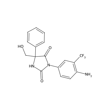 Nc1ccc(N2C(=O)NC(CO)(c3ccccc3)C2=O)cc1C(F)(F)F